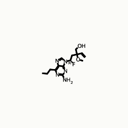 C=CC(CO)(C[C@@H](F)n1cnc2c(CCC)nc(N)nc21)OC